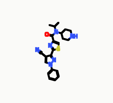 CC(C)N(C(=O)c1csc(-c2nn(-c3ccccc3)cc2C#N)n1)C1CCNCC1